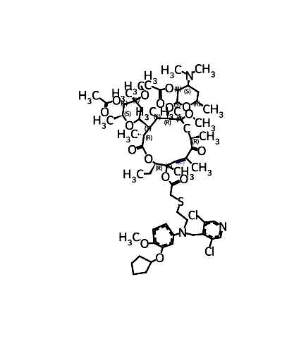 CC[C@H]1OC(=O)[C@H](C)[C@@H](C2C[C@@](C)(OC)[C@@H](OC(C)=O)[C@H](C)O2)[C@H](C)[C@@H](O[C@@H]2O[C@H](C)C[C@H](N(C)C)[C@H]2OC(C)=O)[C@](C)(OC)C[C@@H](C)C(=O)/C(C)=C/[C@]1(C)OC(=O)CSCCN(Cc1c(Cl)cncc1Cl)c1ccc(OC)c(OC2CCCC2)c1